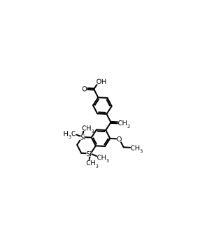 C=C(c1ccc(C(=O)O)cc1)c1cc2c(cc1OCC)[Si](C)(C)CC[Si]2(C)C